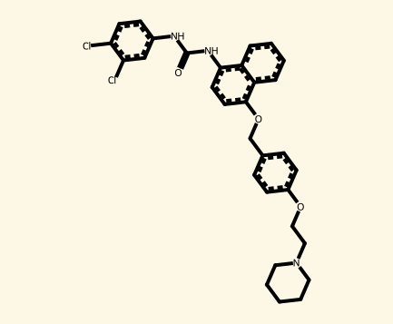 O=C(Nc1ccc(Cl)c(Cl)c1)Nc1ccc(OCc2ccc(OCCN3CCCCC3)cc2)c2ccccc12